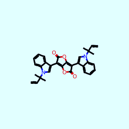 C=CC(C)(C)n1cc(C2=C3OC(=O)C(c4cn(C(C)(C)C=C)c5ccccc45)=C3OC2=O)c2ccccc21